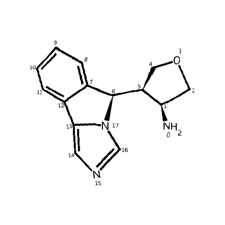 N[C@@H]1COC[C@@H]1[C@@H]1c2ccccc2-c2cncn21